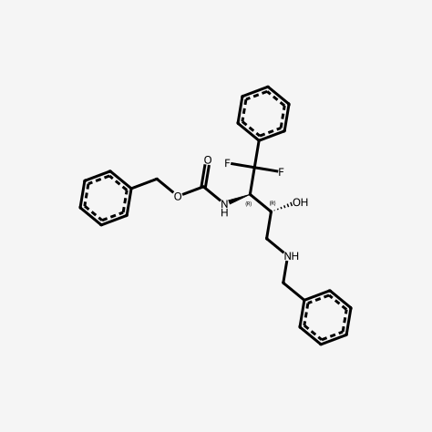 O=C(N[C@H]([C@H](O)CNCc1ccccc1)C(F)(F)c1ccccc1)OCc1ccccc1